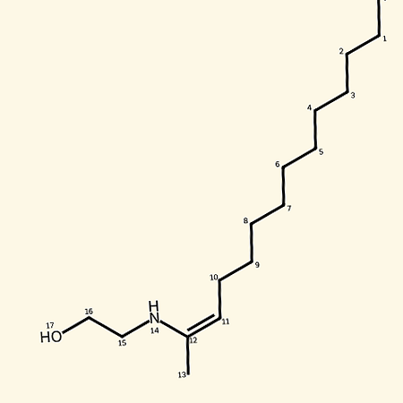 CCCCCCCCCCCC=C(C)NCCO